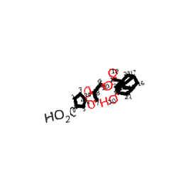 O=C(O)C1CCC2(C1)OCC(COC(=O)C13CC4CC(CC(O)(C4)C1)C3)O2